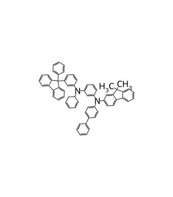 CC1(C)c2ccccc2-c2ccc(N(c3ccc(-c4ccccc4)cc3)c3cccc(N(c4cccc(C5(c6ccccc6)c6ccccc6-c6ccccc65)c4)C4C=CC=CC4)c3)cc21